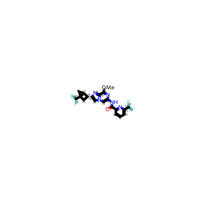 COc1nc(NC(=O)c2cccc(C(F)F)n2)cn2cc([C@@H]3CC4(C(F)F)CC34)nc12